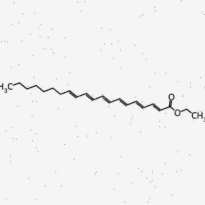 CCCCCCC/C=C/C=C/C=C/C=C/C=C/C=C/C(=O)OCC